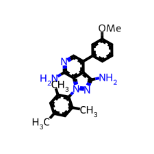 COc1cccc(-c2cnc(N)c3c2c(N)nn3-c2c(C)cc(C)cc2C)c1